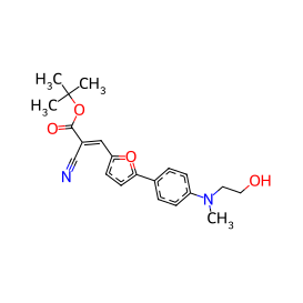 CN(CCO)c1ccc(-c2ccc(/C=C(\C#N)C(=O)OC(C)(C)C)o2)cc1